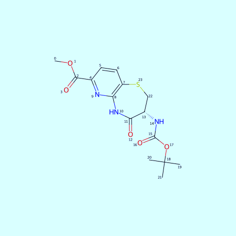 COC(=O)c1ccc2c(n1)NC(=O)[C@@H](NC(=O)OC(C)(C)C)CS2